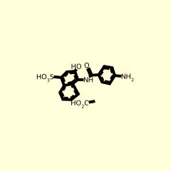 CC(=O)O.Nc1ccc(C(=O)Nc2c(O)cc(S(=O)(=O)O)c3ccccc23)cc1